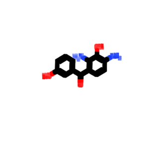 Nc1ccc(C(=O)c2cccc(O)c2)c(N)c1O